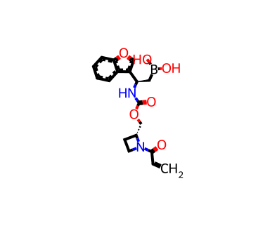 C=CC(=O)N1CC[C@@H]1COC(=O)N[C@H](CB(O)O)c1coc2ccccc12